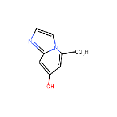 O=C(O)c1cc(O)cc2nccn12